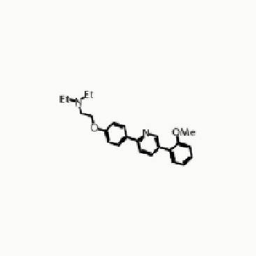 CCN(CC)CCOc1ccc(-c2ccc(-c3ccccc3OC)cn2)cc1